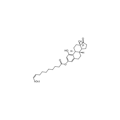 CCCCCCCC/C=C\CCCCCCCC(=O)Oc1cc(O)c2c(c1)CC[C@@H]1[C@@H]2CC[C@]2(C)C(=O)CC[C@@H]12